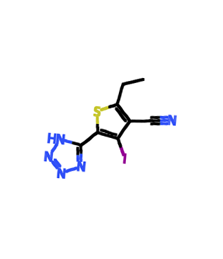 CCc1sc(-c2nnn[nH]2)c(I)c1C#N